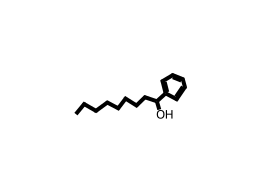 CCCCCCCCC(O)c1ccccc1